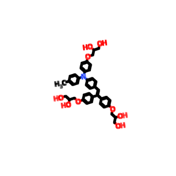 Cc1ccc(N(c2ccc(C=C(c3ccc(OCC(O)CO)cc3)c3ccc(OCC(O)CO)cc3)cc2)c2ccc(OCC(O)CO)cc2)cc1